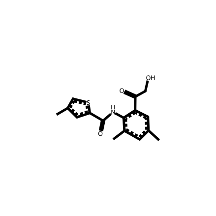 Cc1csc(C(=O)Nc2c(C)cc(C)cc2C(=O)CO)c1